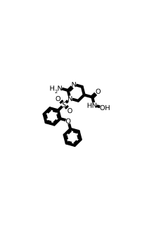 NC1=NCC(C(=O)NO)CN1S(=O)(=O)c1ccccc1Oc1ccccc1